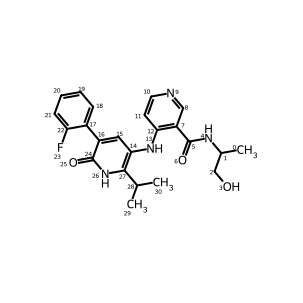 CC(CO)NC(=O)c1cnccc1Nc1cc(-c2ccccc2F)c(=O)[nH]c1C(C)C